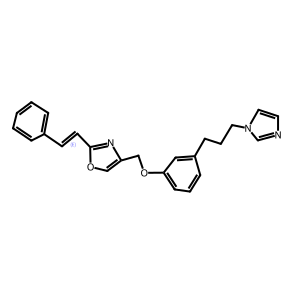 C(=C\c1nc(COc2cccc(CCCn3ccnc3)c2)co1)/c1ccccc1